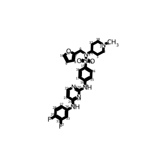 CN1CCC(N(Cc2ccco2)S(=O)(=O)c2ccc(Nc3nccc(Nc4ccc(F)c(F)c4)n3)cc2)CC1